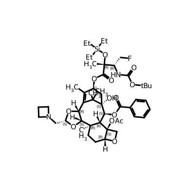 CC[Si](CC)(CC)O[C@@](C)(C(=O)O[C@H]1C[C@@]2(O)[C@@H](OC(=O)c3ccccc3)[C@H]3[C@@](C)(CC[C@H]4OC[C@]43OC(C)=O)[C@@H]3O[C@H](CN4CCC4)O[C@@H]3C(=C1C)C2(C)C)[C@H](CF)NC(=O)OC(C)(C)C